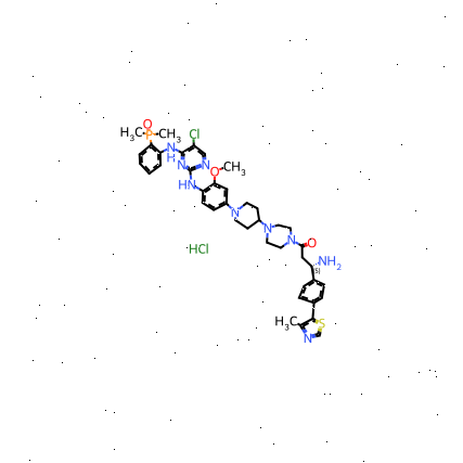 COc1cc(N2CCC(N3CCN(C(=O)C[C@H](N)c4ccc(-c5scnc5C)cc4)CC3)CC2)ccc1Nc1ncc(Cl)c(Nc2ccccc2P(C)(C)=O)n1.Cl